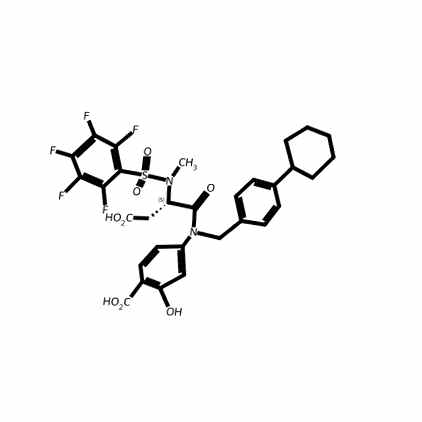 CN([C@@H](CC(=O)O)C(=O)N(Cc1ccc(C2CCCCC2)cc1)c1ccc(C(=O)O)c(O)c1)S(=O)(=O)c1c(F)c(F)c(F)c(F)c1F